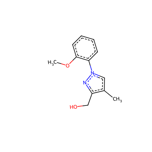 COc1ccccc1-n1cc(C)c(CO)n1